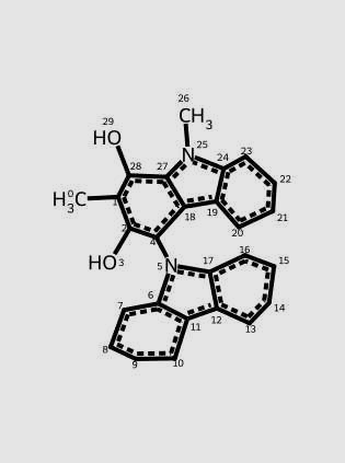 Cc1c(O)c(-n2c3ccccc3c3ccccc32)c2c3ccccc3n(C)c2c1O